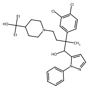 CCC(O)(CC)C1CCN(CCC(C)(c2ccc(Cl)c(Cl)c2)C(O)c2ccnn2-c2ccccc2)CC1